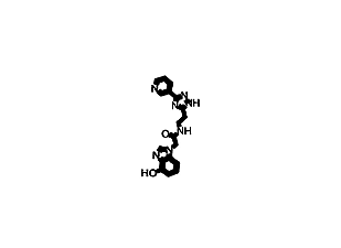 O=C(Cn1cnc2c(O)cccc21)NCCc1nc(-c2cccnc2)n[nH]1